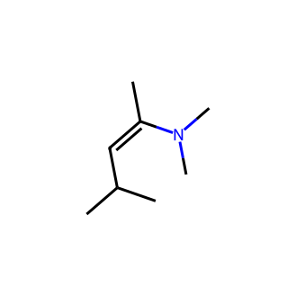 CC(=CC(C)C)N(C)C